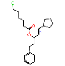 O=C(CCCCCCl)OC(/C=C/C1CCCC1)CCc1ccccc1